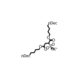 CCCCCCCCCCCCCCOC(=O)CC(C(=O)OCCCCCCCCCCCCCC)S(=O)(=O)[O-].[K+]